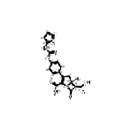 C[C@@H](O)[C@H]1C(=O)N2C(C(=O)O)=C(c3ccc(OC(=O)Nc4ccco4)cc3)C[C@H]12